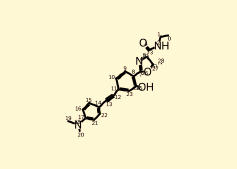 CCNC(=O)[C@H]1N=C(c2ccc(C#Cc3ccc(N(C)C)cc3)cc2O)O[C@H]1C